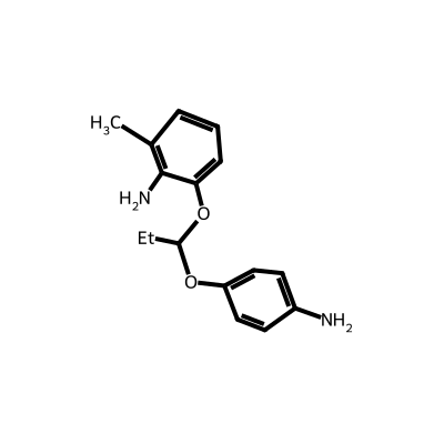 CCC(Oc1ccc(N)cc1)Oc1cccc(C)c1N